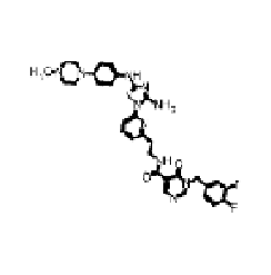 CN1CCN(C2C=CC(Nc3nc(N)n(-c4cccc(CCNC(=O)c5cncn(Cc6ccc(F)c(F)c6)c5=O)n4)n3)=CC2)CC1